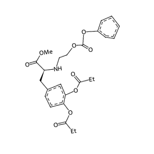 CCC(=O)Oc1ccc(C[C@H](NCCOC(=O)Oc2ccccc2)C(=O)OC)cc1OC(=O)CC